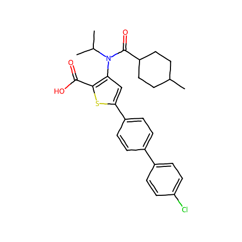 CC1CCC(C(=O)N(c2cc(-c3ccc(-c4ccc(Cl)cc4)cc3)sc2C(=O)O)C(C)C)CC1